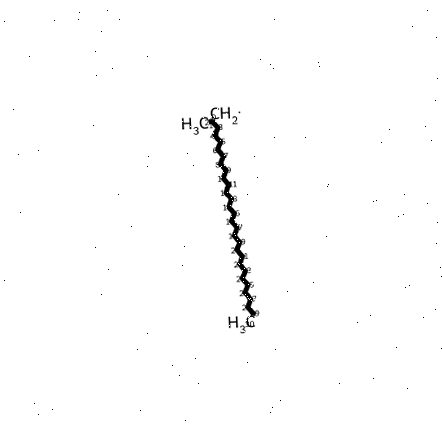 [CH2]C(C)CCCCCCCCCCCCCCCCCCCCCCCCCCCC